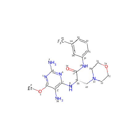 CCOc1nc(N)nc(N[C@@H](CN2CCOCC2)C(=O)Nc2cccc(C(F)(F)F)c2)c1N